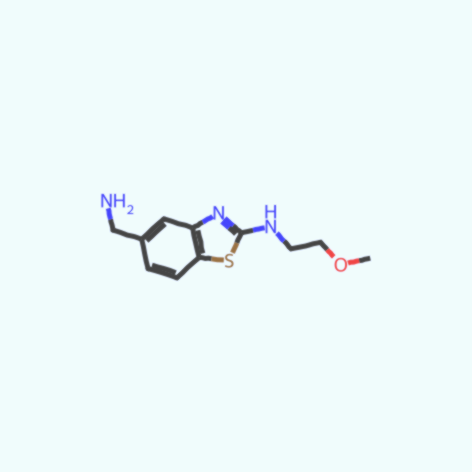 COCCNc1nc2cc(CN)ccc2s1